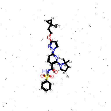 CC(C)C1(CCOc2ccn(-c3ccc(C(=O)NS(=O)(=O)c4ccccc4)c(N4C[C@@H](C)CC4(C)C)n3)n2)CC1